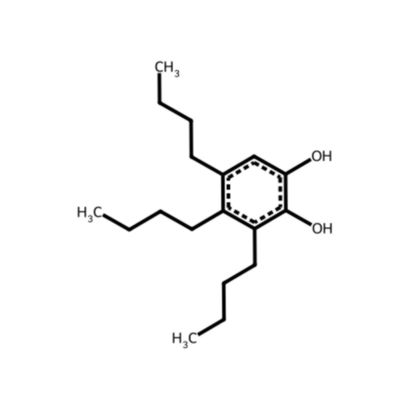 CCCCc1cc(O)c(O)c(CCCC)c1CCCC